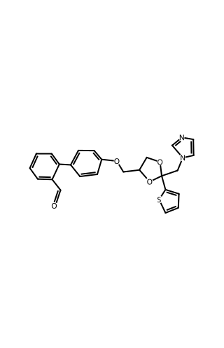 O=Cc1ccccc1-c1ccc(OCC2COC(Cn3ccnc3)(c3cccs3)O2)cc1